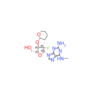 CNc1nc(N)nc2c1ncn2[C@@H]1O[C@H](CO)[C@@H](OC2CCCCO2)[C@@]1(C)F